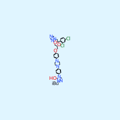 CCC(C)N1N=CN(c2ccc(N3CCN(c4ccc(OCC5COC(Cn6cncn6)(c6ccc(Cl)cc6Cl)O5)cc4)CC3)cc2)C1O